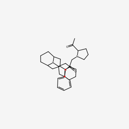 CC(=O)C1CCCN1CC(=O)N(c1ccccc1)C1CC2CCCC(C1)N2C1CC2CCCC(C2)C1